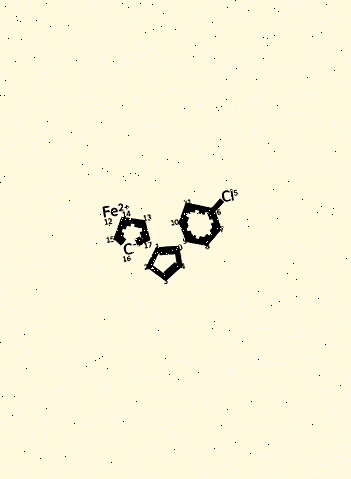 C1=CCC=C1.Clc1ccccc1.[Fe+2].c1cc[cH-]c1